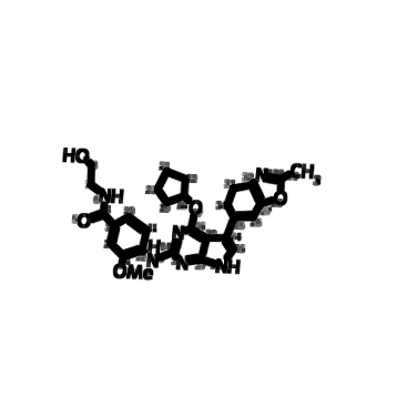 COc1cc(C(=O)NCCO)ccc1Nc1nc(OC2CCCC2)c2c(C3=Cc4oc(C)nc4CC3)c[nH]c2n1